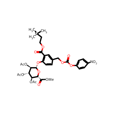 COC(=O)[C@H]1O[C@@H](Oc2ccc(COC(=O)Oc3ccc([N+](=O)[O-])cc3)cc2C(=O)OCC[Si](C)(C)C)[C@H](OC(C)=O)[C@@H](OC(C)=O)[C@@H]1OC(C)=O